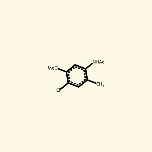 COc1cc(NC(C)=O)c(C)cc1Cl